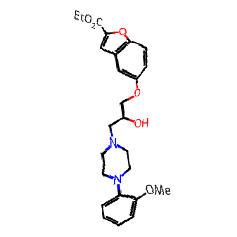 CCOC(=O)c1cc2cc(OCC(O)CN3CCN(c4ccccc4OC)CC3)ccc2o1